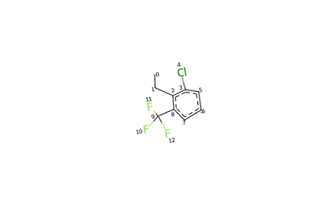 CCc1c(Cl)c[c]cc1C(F)(F)F